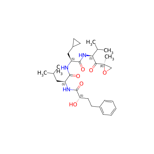 CC(C)C[C@H](NC(=O)[C@@H](O)CCc1ccccc1)C(=O)N[C@@H](CC1CC1)C(=O)N[C@H](C(=O)[C@@]1(C)CO1)C(C)C